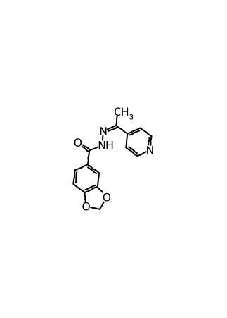 CC(=NNC(=O)c1ccc2c(c1)OCO2)c1ccncc1